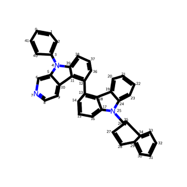 c1ccc(-n2c3cnccc3c3c(-c4cccc5c4c4ccccc4n5-c4ccc5ccccc5c4)cccc32)cc1